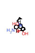 N[C@@H]1CC[C@@]2(O)[C@H]3Cc4ccc(O)c5c4[C@@]2(CCN3CC2CC2)[C@H]1O5